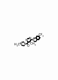 Cc1c(C(=O)N2CCN(C)CC2)ncnc1N1CCc2ccc(C(F)(F)F)cc2C1